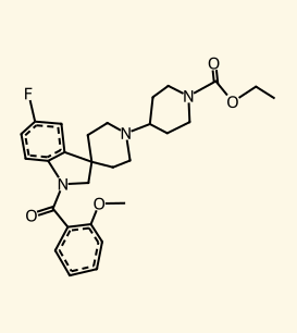 CCOC(=O)N1CCC(N2CCC3(CC2)CN(C(=O)c2ccccc2OC)c2ccc(F)cc23)CC1